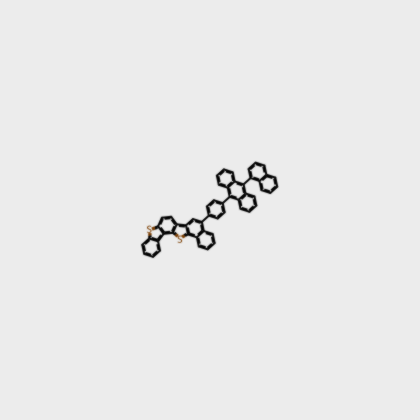 c1ccc2c(-c3c4ccccc4c(-c4ccc(-c5cc6c7ccc8sc9ccccc9c8c7sc6c6ccccc56)cc4)c4ccccc34)cccc2c1